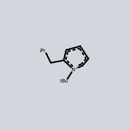 CC(C)Cc1cccc[n+]1C(C)(C)C